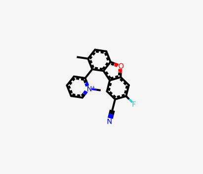 Cc1ccc2oc3cc(F)c(C#N)cc3c2c1-c1cccc[n+]1C